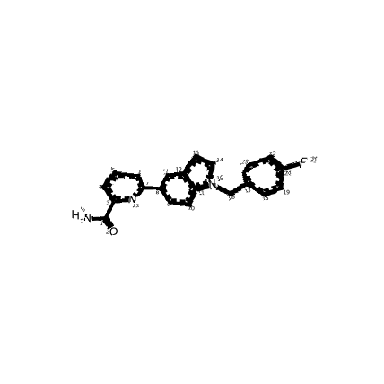 NC(=O)c1cccc(-c2ccc3c(ccn3Cc3ccc(F)cc3)c2)n1